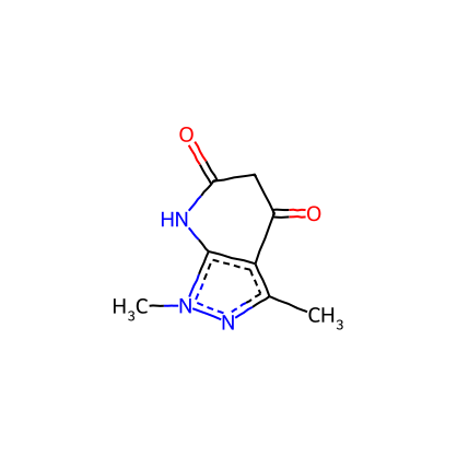 Cc1nn(C)c2c1C(=O)CC(=O)N2